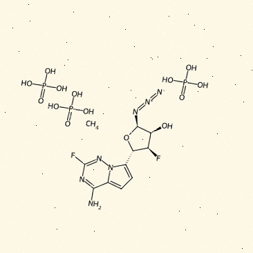 C.O=P(O)(O)O.O=P(O)(O)O.O=P(O)(O)O.[N-]=[N+]=N[C@@H]1O[C@@H](c2ccc3c(N)nc(F)nn23)[C@H](F)[C@@H]1O